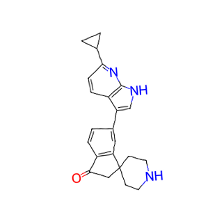 O=C1CC2(CCNCC2)c2cc(-c3c[nH]c4nc(C5CC5)ccc34)ccc21